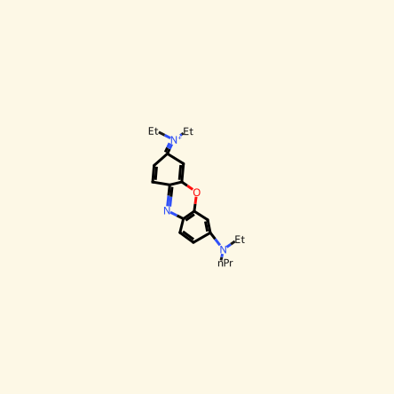 CCCN(CC)c1ccc2nc3ccc(=[N+](CC)CC)cc-3oc2c1